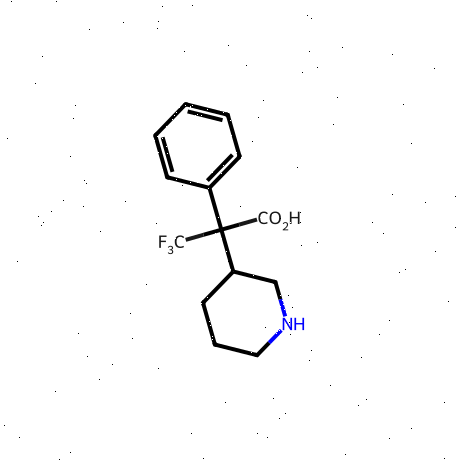 O=C(O)C(c1ccccc1)(C1CCCNC1)C(F)(F)F